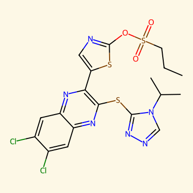 CCCS(=O)(=O)Oc1ncc(-c2nc3cc(Cl)c(Cl)cc3nc2Sc2nncn2C(C)C)s1